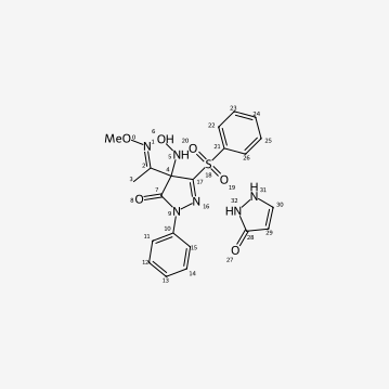 CO/N=C(\C)C1(NO)C(=O)N(c2ccccc2)N=C1S(=O)(=O)c1ccccc1.O=c1cc[nH][nH]1